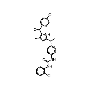 Cc1cc(C(C)c2ccc(NC(=O)Nc3ccccc3Cl)cn2)[nH]c1C(=O)c1ccc(Cl)cc1